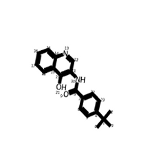 CC(C)(C)c1ccc(C(=O)Nc2cnc3ccccc3c2O)cc1